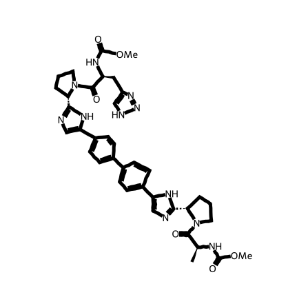 COC(=O)N[C@@H](C)C(=O)N1CCC[C@H]1c1ncc(-c2ccc(-c3ccc(-c4cnc([C@@H]5CCCN5C(=O)[C@H](Cc5c[nH]nn5)NC(=O)OC)[nH]4)cc3)cc2)[nH]1